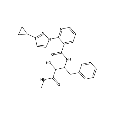 CNC(=O)C(O)C(Cc1ccccc1)NC(=O)c1cccnc1-n1ccc(C2CC2)n1